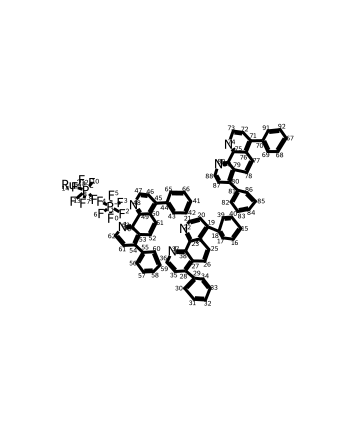 F[P-](F)(F)(F)(F)F.F[P-](F)(F)(F)(F)F.[Ru+2].c1ccc(-c2ccnc3c2ccc2c(-c4ccccc4)ccnc23)cc1.c1ccc(-c2ccnc3c2ccc2c(-c4ccccc4)ccnc23)cc1.c1ccc(-c2ccnc3c2ccc2c(-c4ccccc4)ccnc23)cc1